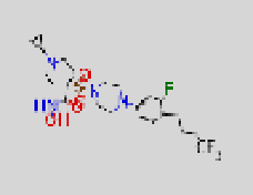 O=C(NO)C1(S(=O)(=O)N2CCN(c3ccc(CCCC(F)(F)F)c(F)c3)CC2)CCN(C2CC2)CC1